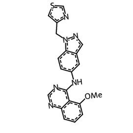 COc1cccc2ncnc(Nc3ccc4c(cnn4Cc4cscn4)c3)c12